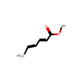 CCCOC(=O)/C=C/C=C/C(=O)O